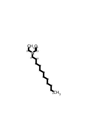 CCCCCCCCCCCCN(C=O)CC